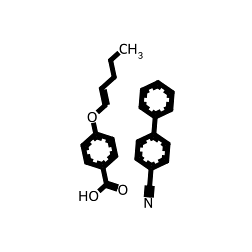 CCCC=COc1ccc(C(=O)O)cc1.N#Cc1ccc(-c2ccccc2)cc1